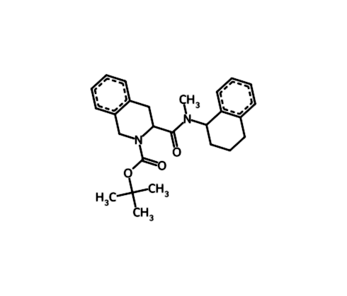 CN(C(=O)C1Cc2ccccc2CN1C(=O)OC(C)(C)C)C1CCCc2ccccc21